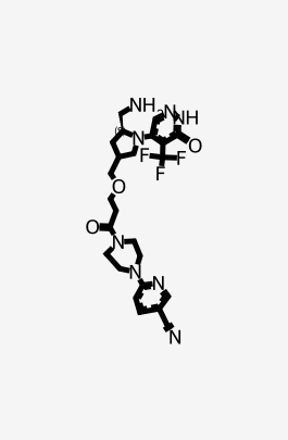 N#Cc1ccc(N2CCN(C(=O)CCOCC3C[C@@H](CN)N(c4cn[nH]c(=O)c4C(F)(F)F)C3)CC2)nc1